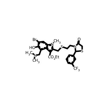 CCOC(=O)c1c(CSCCN2C(=O)CSC2c2cccc(C(F)(F)F)c2)n(C)c2cc(Br)c(O)c(CN(C)C)c12